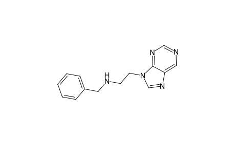 c1ccc(CNCCn2cnc3cncnc32)cc1